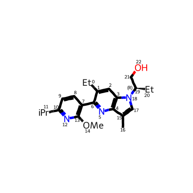 CCc1cc2c(nc1-c1ccc(C(C)C)nc1OC)c(C)cn2[C@H](CC)CO